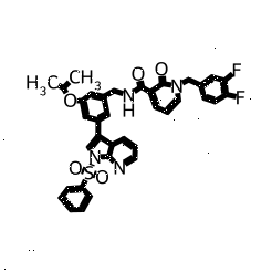 CC(C)Oc1cc(CNC(=O)c2cccn(Cc3ccc(F)c(F)c3)c2=O)cc(C2=CN(S(=O)(=O)c3ccccc3)C3N=CC=CC23)c1